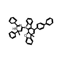 CC1(c2ccccc2)C=C(n2c3c(c4ccccc42)C(c2ccc(-c4ccccc4)cc2)=CC2(C)c4ccccc4OC32)N=C(C2C=CC=CC2)N1